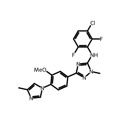 COc1cc(-c2nc(Nc3c(F)ccc(Cl)c3F)n(C)n2)ccc1-n1cnc(C)c1